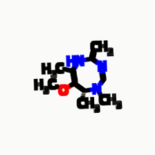 C=C1/N=C\N(C)[C@H](C)C(OC)=C(C)N1